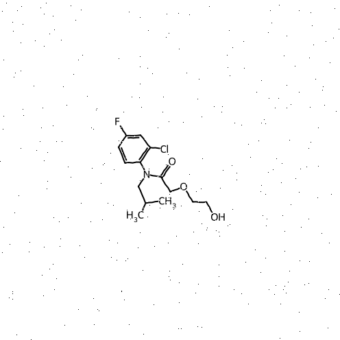 CC(C)CN(C(=O)COCCO)c1ccc(F)cc1Cl